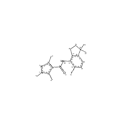 Cc1nn(C)c(C)c1C(=O)Nc1c(F)ccc2c1CCC2(C)C